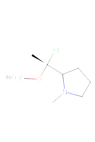 CN1CCCC1[C@@](C)(Cl)OC(=O)O